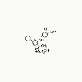 COc1ccc(CNc2nc(C3CCCCC3)nc3sc(C)c(C)c23)cc1Cl.O=C(O)O